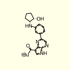 CC(C)(C)C(=O)c1c[nH]c2ncc(-c3cccc(N[C@@H]4CCC[C@@H]4O)c3)nc12